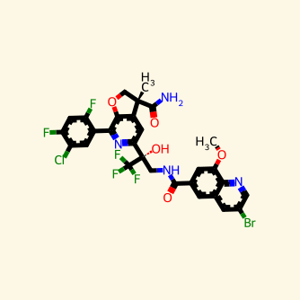 COc1cc(C(=O)NC[C@](O)(c2cc3c(c(-c4cc(Cl)c(F)cc4F)n2)OC[C@]3(C)C(N)=O)C(F)(F)F)cc2cc(Br)cnc12